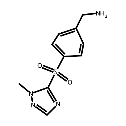 Cn1ncnc1S(=O)(=O)c1ccc(CN)cc1